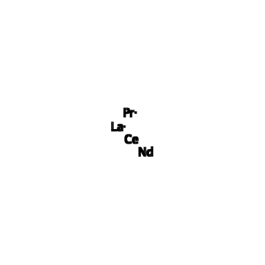 [Ce].[La].[Nd].[Pr]